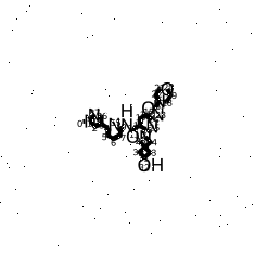 Cn1cc(-c2cccc(NC(=O)c3cc4oc(N5CCOCC5)nc4nc3N3CC4(CC(O)C4)C3)n2)cn1